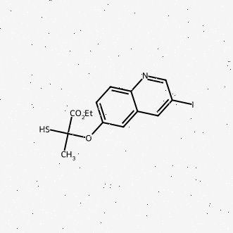 CCOC(=O)C(C)(S)Oc1ccc2ncc(I)cc2c1